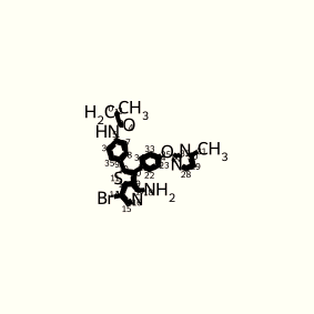 C=C(C)C(=O)Nc1ccc(-c2sc3c(Br)cnc(N)c3c2-c2ccc(Oc3nccc(C)n3)cc2)cc1